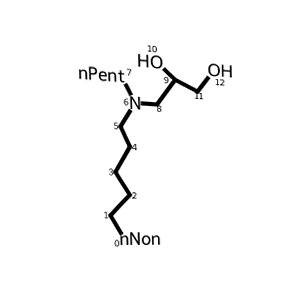 CCCCCCCCCCCCCCN(CCCCC)CC(O)CO